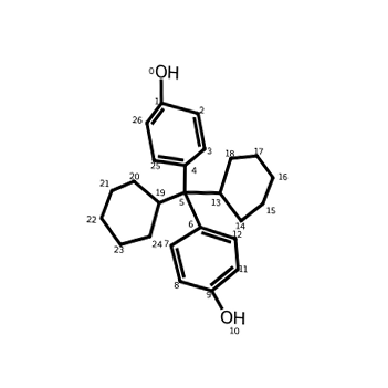 Oc1ccc(C(c2ccc(O)cc2)(C2CCCCC2)C2CCCCC2)cc1